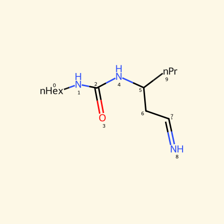 CCCCCCNC(=O)NC(C[C]=N)CCC